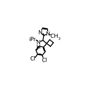 CC(C)NC(c1nccn1C)C1(c2ccc(Cl)c(Cl)c2)CCC1